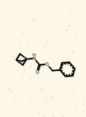 O=C(NC12C[C](C1)C2)OCc1ccccc1